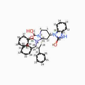 O=C(O)N1CCC(n2c(=O)[nH]c3ccccc32)C[C@@]1(CCc1ccccc1)N(Cc1ccccc1)Cc1ccccc1